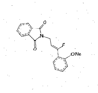 COc1ccccc1C(F)=CCN1C(=O)c2ccccc2C1=O